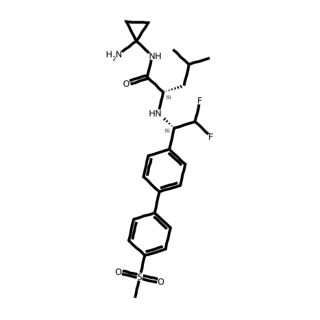 CC(C)C[C@H](N[C@@H](c1ccc(-c2ccc(S(C)(=O)=O)cc2)cc1)C(F)F)C(=O)NC1(N)CC1